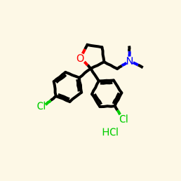 CN(C)CC1CCOC1(c1ccc(Cl)cc1)c1ccc(Cl)cc1.Cl